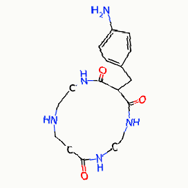 Nc1ccc(CC2C(=O)NCCNCCC(=O)NCCNC2=O)cc1